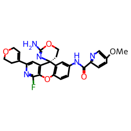 COc1ccc(C(=O)Nc2ccc3c(c2)[C@@]2(CCOC(N)=N2)c2cc(C4=CCOCC4)nc(F)c2O3)nc1